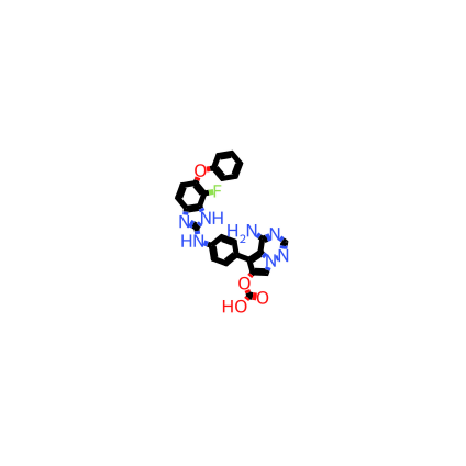 Nc1ncnn2cc(OC(=O)O)c(-c3ccc(Nc4nc5ccc(Oc6ccccc6)c(F)c5[nH]4)cc3)c12